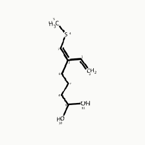 C=C/C(=C\SC)CCCC(O)O